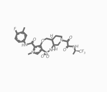 Cc1cc(NC(=O)c2c3c(cn2C)S(=O)(=O)N[C@H]2CN(C(=O)C(=O)N[C@H](C)C(F)(F)F)CC[C@@H]2CO3)ccc1F